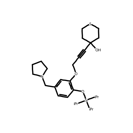 CC(C)[Si](Oc1ccc(CN2CCCC2)cc1OCC#CC1(O)CCSCC1)(C(C)C)C(C)C